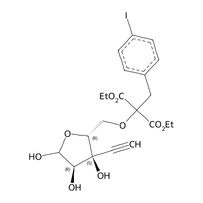 C#C[C@@]1(O)[C@@H](COC(Cc2ccc(I)cc2)(C(=O)OCC)C(=O)OCC)OC(O)[C@@H]1O